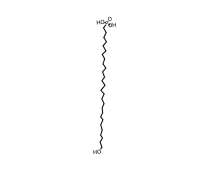 O=P(O)(O)CCCCCCCCCCCCCCCCCCCCCCCCCCCCO